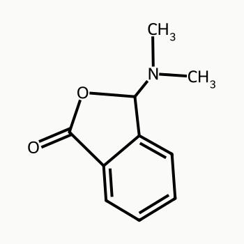 CN(C)C1OC(=O)c2ccccc21